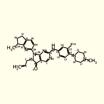 C=CCn1c(=O)c2cnc(Nc3ccc(N4CCN(C)CC4)c(F)c3)nc2n1-c1ccc2c(n1)C(C)CC2